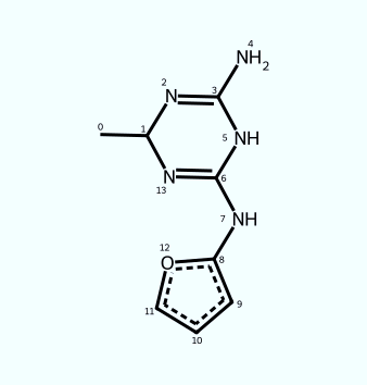 CC1N=C(N)NC(Nc2ccco2)=N1